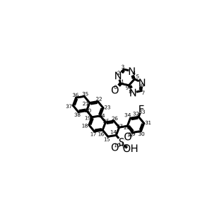 O=C1N=CN=C2N=CN=C12.O=S(=O)(O)C1Cc2ccc3c4c(ccc3c2=CC1c1cccc(F)c1)CC=CC=4